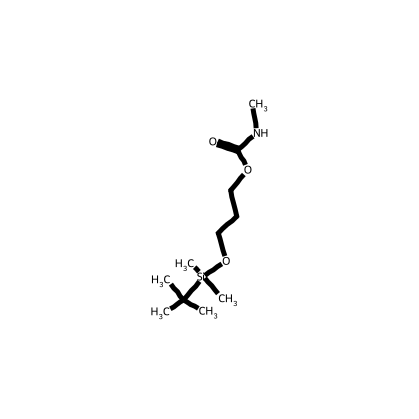 CNC(=O)OCCCO[Si](C)(C)C(C)(C)C